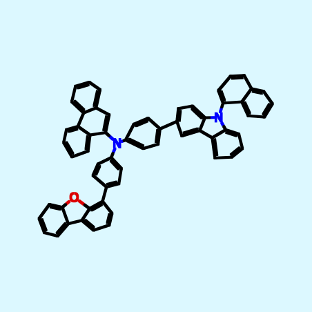 c1ccc2c(-n3c4ccccc4c4cc(-c5ccc(N(c6ccc(-c7cccc8c7oc7ccccc78)cc6)c6cc7ccccc7c7ccccc67)cc5)ccc43)cccc2c1